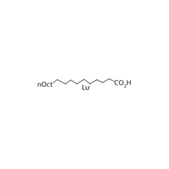 CCCCCCCCCCCCCCCCCC(=O)O.[Lu]